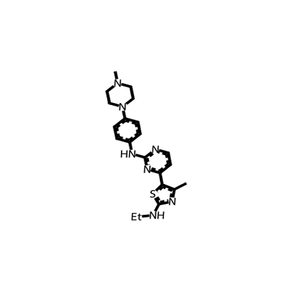 CCNc1nc(C)c(-c2ccnc(Nc3ccc(N4CCN(C)CC4)cc3)n2)s1